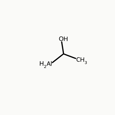 C[CH](O)[AlH2]